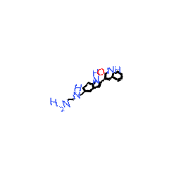 NCCNCc1ccc2[nH]c(-c3cc4ccccc4[nH]c3=O)cc2c1